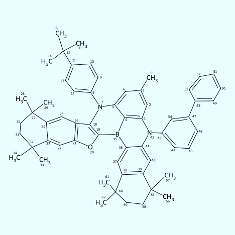 Cc1cc2c3c(c1)N(c1ccc(C(C)(C)C)cc1)c1c(oc4cc5c(cc14)C(C)(C)CCC5(C)C)B3c1cc3c(cc1N2c1cccc(-c2ccccc2)c1)C(C)(C)CCC3(C)C